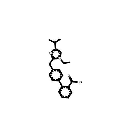 CCn1nc(C(C)C)nc1Cc1ccc(-c2ccccc2C(=O)O)cc1